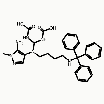 Cn1ncc(N(CCCCNC(c2ccccc2)(c2ccccc2)c2ccccc2)C(NC(=O)O)NC(=O)O)c1N